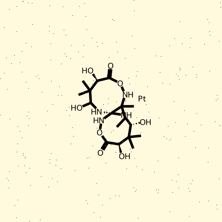 CCC1(C)NOC(=O)[C@H](O)C(C)(C)C(O)N[C@]12NOC(=O)[C@H](O)C(C)(C)[C@@H](O)N2.[Pt]